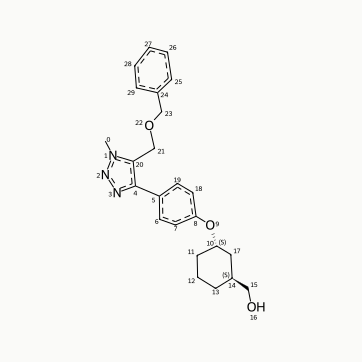 Cn1nnc(-c2ccc(O[C@H]3CCC[C@H](CO)C3)cc2)c1COCc1ccccc1